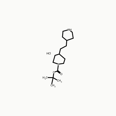 CC(C)(C)OC(=O)N1CCC(CCC2CCNCC2)CC1.Cl